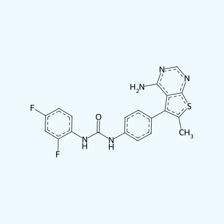 Cc1sc2ncnc(N)c2c1-c1ccc(NC(=O)Nc2ccc(F)cc2F)cc1